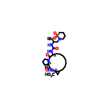 CC(C)(C)C(CN1CCCCS1(=O)=O)NC(=O)N[C@H]1CCCCCCCC2C[C@@]2(C(=O)O)NC(=O)[C@@H]2CCCN2C1=O